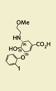 COCCN[C@@H]1CC(C(=O)O)=C[C@H](Oc2ccccc2I)[C@H]1O